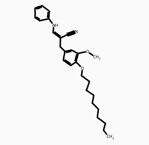 CCCCCCCCCCOc1ccc(CC(C#N)=CNc2ccccc2)cc1OC